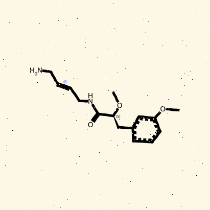 COc1cccc(C[C@H](OC)C(=O)NC/C=C/CN)c1